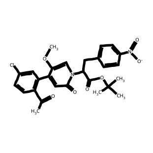 COc1cn(C(Cc2ccc([N+](=O)[O-])cc2)C(=O)OC(C)(C)C)c(=O)cc1-c1cc(Cl)ccc1C(C)=O